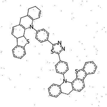 C1=CC2=C(CC1)CC1=C(C3Sc4ccccc4C3C=C1)N2c1ccc(-c2nnc(-c3ccc(N4c5ccccc5Cc5ccc6c(sc7ccccc76)c54)cc3)s2)cc1